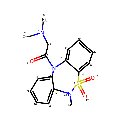 CCN(CC)CC(=O)N1c2ccccc2N(C)S(=O)(=O)c2ccccc21